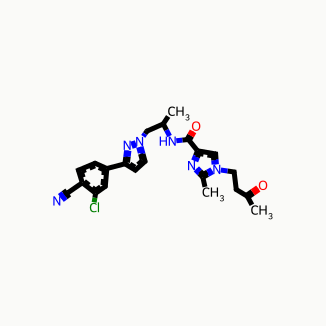 CC(=O)CCn1cc(C(=O)NC(C)Cn2ccc(-c3ccc(C#N)c(Cl)c3)n2)nc1C